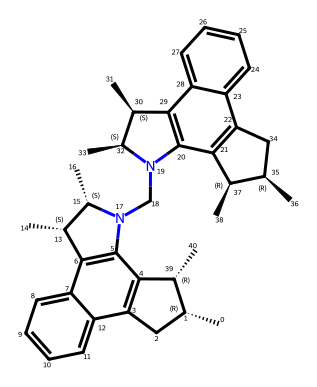 C[C@@H]1Cc2c(c3c(c4ccccc24)[C@H](C)[C@H](C)N3CN2c3c4c(c5ccccc5c3[C@H](C)[C@@H]2C)C[C@@H](C)[C@H]4C)[C@@H]1C